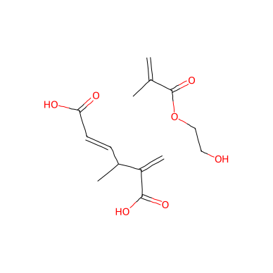 C=C(C(=O)O)C(C)C=CC(=O)O.C=C(C)C(=O)OCCO